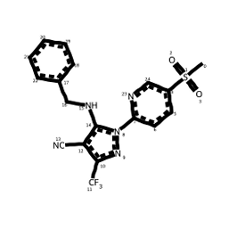 CS(=O)(=O)c1ccc(-n2nc(C(F)(F)F)c(C#N)c2NCc2ccccc2)nc1